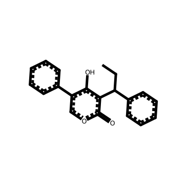 CCC(c1ccccc1)c1c(O)c(-c2ccccc2)coc1=O